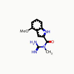 COc1cccc2[nH]c(C(=O)N(C)C(=N)N)cc12